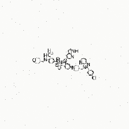 Cc1cc(S(=O)(=O)NC(=O)c2ccc(N3CCC(Cn4c(-c5ccc(Cl)cc5)nc5cccnc54)CC3)cc2Oc2cnc3[nH]ccc3c2)ccc1NCC1CCOCC1